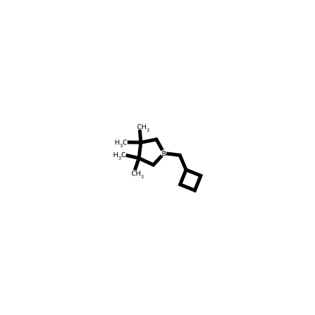 CC1(C)CB(CC2CCC2)CC1(C)C